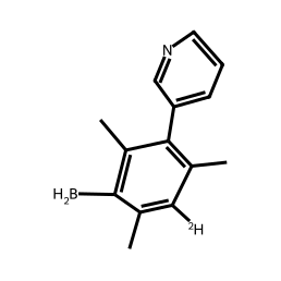 [2H]c1c(C)c(B)c(C)c(-c2cccnc2)c1C